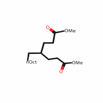 CCCCCCCCCC(CCC(=O)OC)CCC(=O)OC